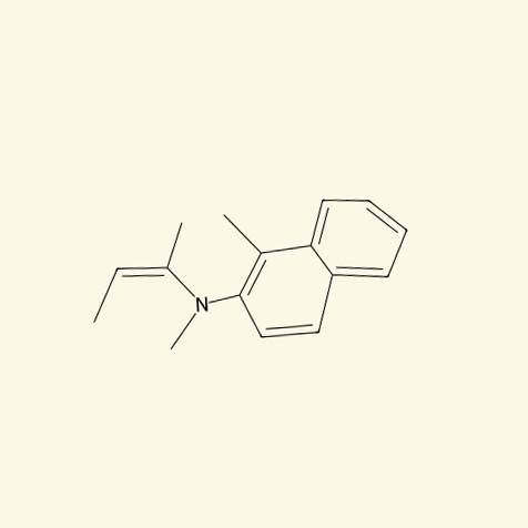 C/C=C(/C)N(C)c1ccc2ccccc2c1C